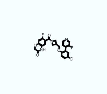 O=C1COc2cc(F)c(C(=O)N3CC(COc4ccc(Cl)cc4-c4ccncc4F)C3)cc2N1